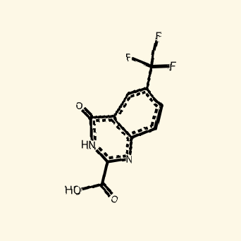 O=C(O)c1nc2ccc(C(F)(F)F)cc2c(=O)[nH]1